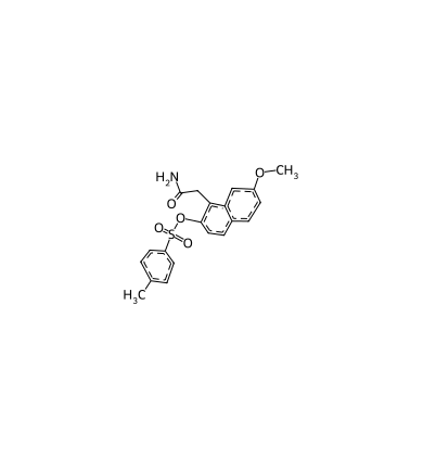 COc1ccc2ccc(OS(=O)(=O)c3ccc(C)cc3)c(CC(N)=O)c2c1